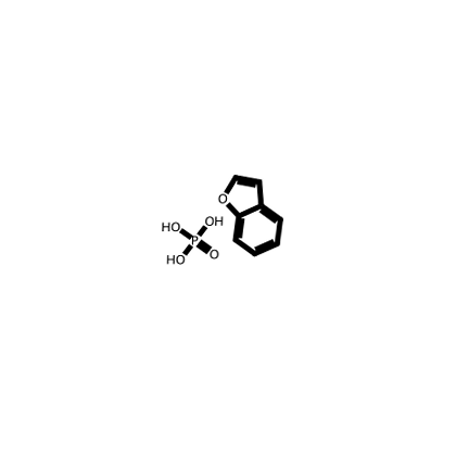 O=P(O)(O)O.c1ccc2occc2c1